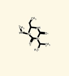 CCC1NC(=O)N(C(C)C)C(=O)N1NC